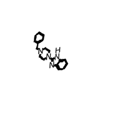 c1ccc(CN2CCN(c3nc4ccccc4[nH]3)CC2)cc1